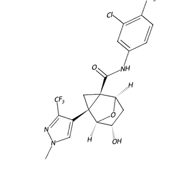 Cn1cc([C@@]23C[C@]2(C(=O)Nc2ccc(C(F)(F)F)c(Cl)c2)[C@H]2C[C@H](O)[C@@H]3O2)c(C(F)(F)F)n1